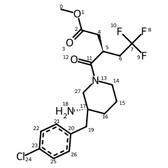 COC(=O)C[C@@H](CC(F)(F)F)C(=O)N1CCC[C@@](N)(Cc2ccc(Cl)cc2)C1